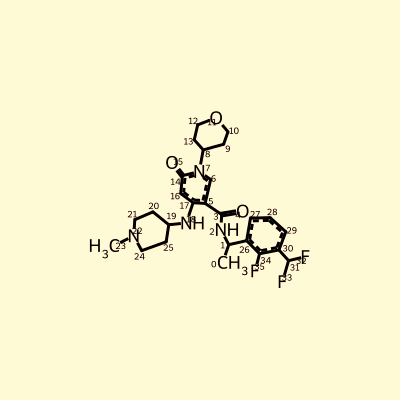 CC(NC(=O)c1cn(C2CCOCC2)c(=O)cc1NC1CCN(C)CC1)c1cccc(C(F)F)c1F